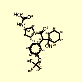 O=C(O)N[C@H]1CCN(C(=O)C(c2cccc(OC(F)(F)F)c2)C2(O)CCCCC2)C1